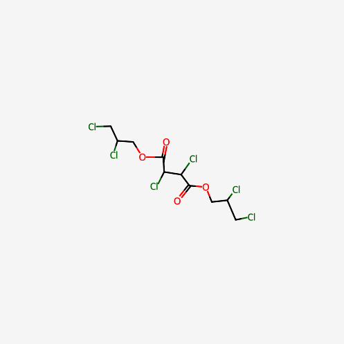 O=C(OCC(Cl)CCl)C(Cl)C(Cl)C(=O)OCC(Cl)CCl